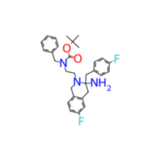 CC(C)(C)OC(=O)N(CCN1Cc2ccc(F)cc2CC1(N)Cc1ccc(F)cc1)Cc1ccccc1